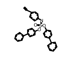 C#Cc1ccc(N=S(=O)(Oc2ccc(-c3ccccc3)cc2)Oc2ccc(-c3ccccc3)cc2)cc1